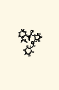 Cc1ccncc1NC(=O)c1sccc1OCc1ccccc1